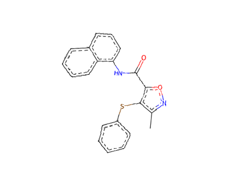 Cc1noc(C(=O)Nc2cccc3ccccc23)c1Sc1ccccc1